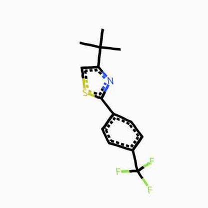 CC(C)(C)c1csc(-c2ccc(C(F)(F)F)cc2)n1